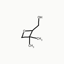 CC1(C)COC1CO